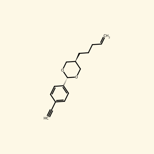 C#Cc1ccc([C@H]2OC[C@H](CCCC=C)CO2)cc1